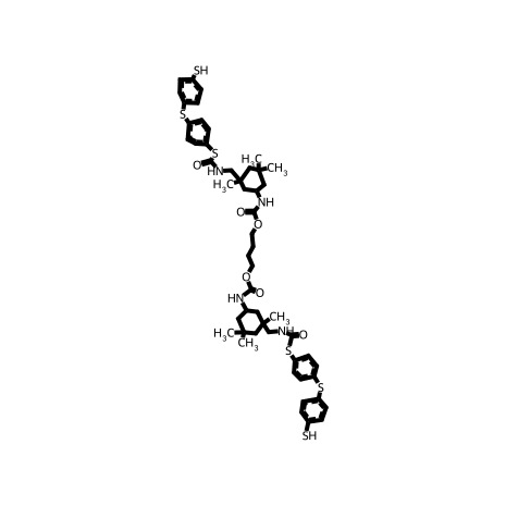 CC1(C)CC(NC(=O)OCCCCOC(=O)NC2CC(C)(C)CC(C)(CNC(=O)Sc3ccc(Sc4ccc(S)cc4)cc3)C2)CC(C)(CNC(=O)Sc2ccc(Sc3ccc(S)cc3)cc2)C1